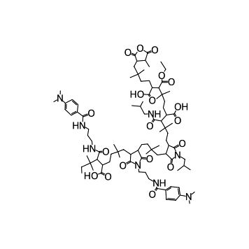 CCOC(=O)C(C(CCC(C)(C)CC1C(=O)OC(=O)C1C)C(=O)O)C(C)(C)CCC(C(=O)O)C(C(=O)NCC(C)C)C(C)(C)CCC1C(=O)N(CC(C)C)C(=O)C1CC(C)(C)CCC1C(=O)N(CCCNC(=O)c2ccc(N(C)C)cc2)C(=O)C1CC(C)(C)CCC(C(=O)O)C(C(=O)NCCCNC(=O)c1ccc(N(C)C)cc1)C(C)(C)CC